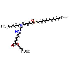 CCCCCCCCCCCCCCCCCCCCCCCCOC(=O)CCCCCCN(CCCCCCC(=O)O)CCCNCCCCCCC(=C=O)OCCCCCCCCCCCCCC